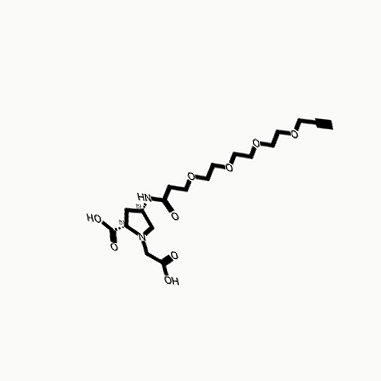 C#CCOCCOCCOCCOCCC(=O)N[C@H]1C[C@@H](C(=O)O)N(CC(=O)O)C1